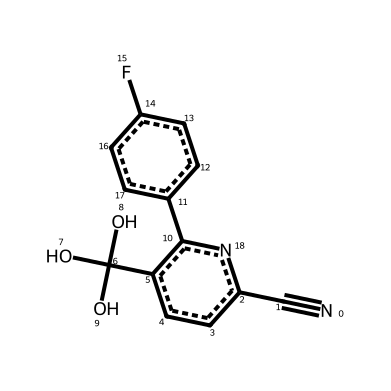 N#Cc1ccc(C(O)(O)O)c(-c2ccc(F)cc2)n1